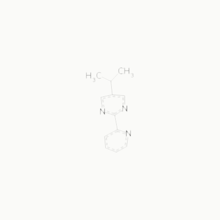 CC(C)c1cnc(-c2ccccn2)nc1